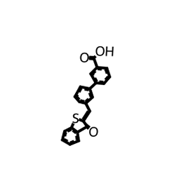 O=C(O)c1cccc(-c2cccc(/C=C3\Sc4ccccc4C3=O)c2)c1